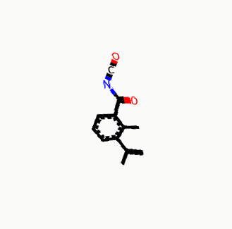 C=C(C)c1cccc(C(=O)N=C=O)c1C